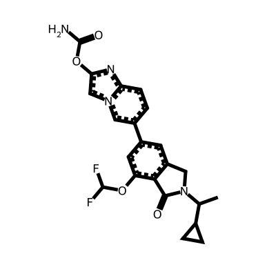 CC(C1CC1)N1Cc2cc(-c3ccc4nc(OC(N)=O)cn4c3)cc(OC(F)F)c2C1=O